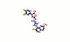 COc1ccc2ncc(F)c(N3CC(NCC4CN(c5ccc(C)c(F)c5)C(=O)O4)C3)c2n1